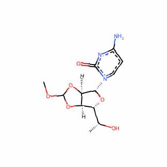 COC1O[C@H]2[C@@H](O1)[C@H](n1ccc(N)nc1=O)O[C@@H]2[C@@H](C)O